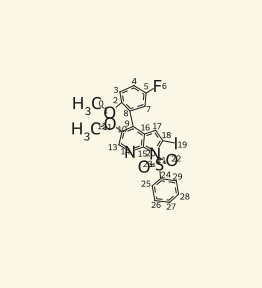 COc1ccc(F)cc1-c1c(OC)cnc2c1cc(I)n2S(=O)(=O)c1ccccc1